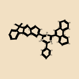 CC1(C)c2ccccc2-c2cc3cc(-c4nc(-c5ccccc5)nc(-c5cc6ccccc6c6ccccc56)n4)ccc3cc21